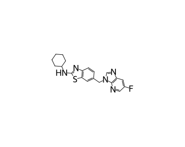 Fc1cnc2c(c1)ncn2Cc1ccc2nc(NC3CCCCC3)sc2c1